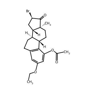 CCOc1cc2c(c(OC(C)=O)c1)[C@H]1CC[C@]3(C)C(=O)[C@H](Br)C[C@H]3[C@@H]1CC2